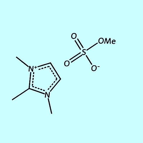 COS(=O)(=O)[O-].Cc1n(C)cc[n+]1C